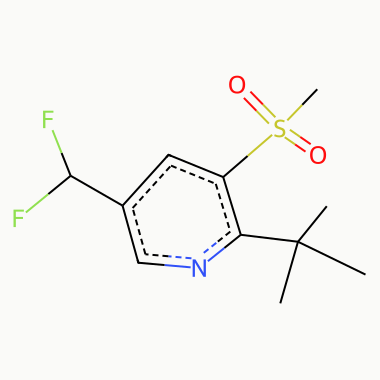 CC(C)(C)c1ncc(C(F)F)cc1S(C)(=O)=O